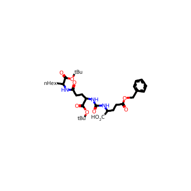 CCCCCCC(NC(=O)CCC(NC(=O)NC(CCC(=O)OCc1ccccc1)C(=O)O)C(=O)OC(C)(C)C)C(=O)OC(C)(C)C